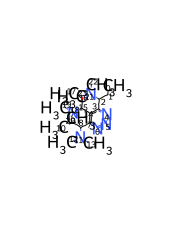 CCC(c1nnnc(C(CC)N(C)C)c1C(CC)N(C)C)N(C)C